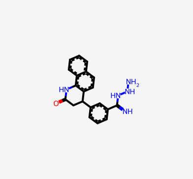 N=C(NNN)c1cccc(C2CC(=O)Nc3c2ccc2ccccc32)c1